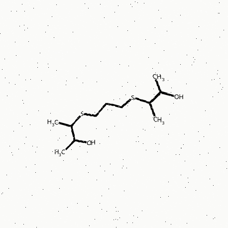 CC(O)C(C)SCCCSC(C)C(C)O